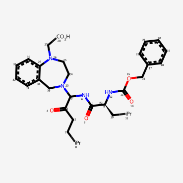 CC(C)CCC(=O)C(NC(=O)[C@H](CC(C)C)NC(=O)OCc1ccccc1)N1CCN(CC(=O)O)c2ccccc2C1